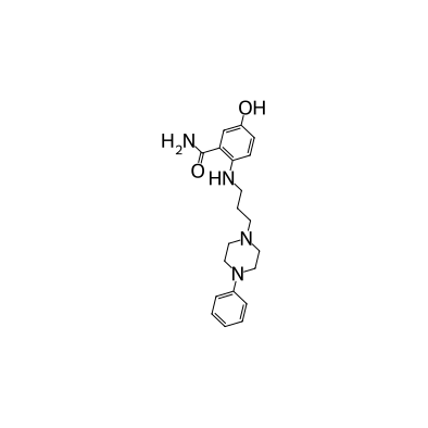 NC(=O)c1cc(O)ccc1NCCCN1CCN(c2ccccc2)CC1